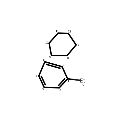 CCc1ccccc1.[CH]1CCCCC1